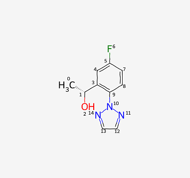 C[C@@H](O)c1cc(F)ccc1-n1nccn1